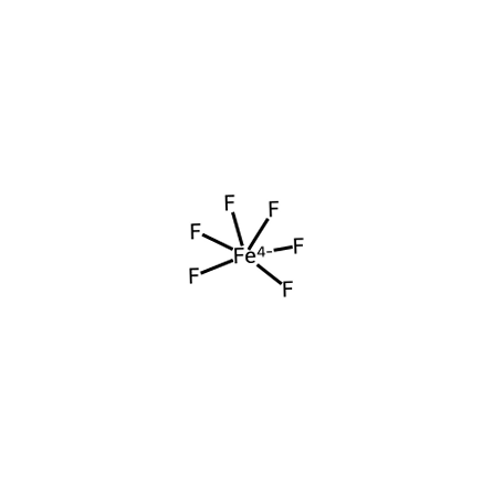 [F][Fe-4]([F])([F])([F])([F])[F]